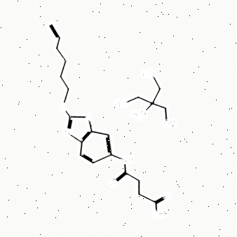 C=CCCCCSc1nc2ccc(NC(=O)CCC(=O)O)cc2s1.NC(CO)(CO)CO